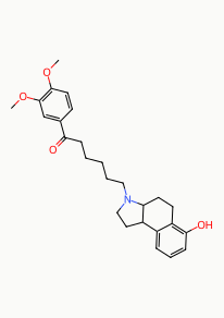 COc1ccc(C(=O)CCCCCN2CCC3c4cccc(O)c4CCC32)cc1OC